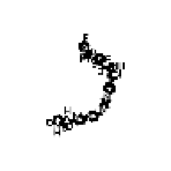 O=C1CC[C@H](NC(=O)c2ccc(N3CCC(CN4CC5(C4)CN(c4ccc(-c6cnc7[nH]cc(C(=O)c8c(F)ccc(NS(=O)(=O)N9CC[C@@H](F)C9)c8F)c7c6)cc4)C5)CC3)cn2)C(=O)N1